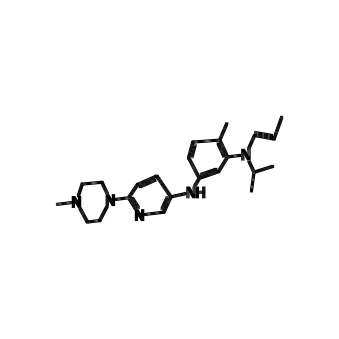 C/C=C/N(c1cc(Nc2ccc(N3CCN(C)CC3)nc2)ccc1C)C(C)C